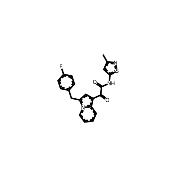 Cc1cc(NC(=O)C(=O)c2cc(Cc3ccc(F)cc3)n3ccccc23)sn1